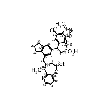 CC[C@@H]1CN(Cc2cc([C@H](CC(=O)O)c3cc(Cl)c4c(nnn4C)c3C)cc3c2CCC3)[C@@H](C)c2ncccc2O1